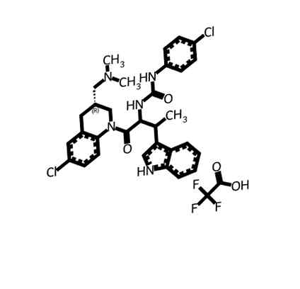 CC(c1c[nH]c2ccccc12)C(NC(=O)Nc1ccc(Cl)cc1)C(=O)N1C[C@@H](CN(C)C)Cc2cc(Cl)ccc21.O=C(O)C(F)(F)F